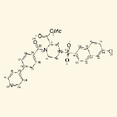 COC(=O)C1=CN(S(=O)(=O)c2ccc3cc(Cl)ccc3c2)CCN1C(=O)c1ccc(-c2ccncc2)cc1